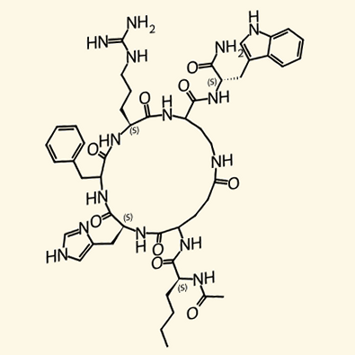 CCCC[C@H](NC(C)=O)C(=O)NC1CCC(=O)NCCC(C(=O)N[C@@H](Cc2c[nH]c3ccccc23)C(N)=O)NC(=O)[C@H](CCCNC(=N)N)NC(=O)C(Cc2ccccc2)NC(=O)[C@H](Cc2c[nH]cn2)NC1=O